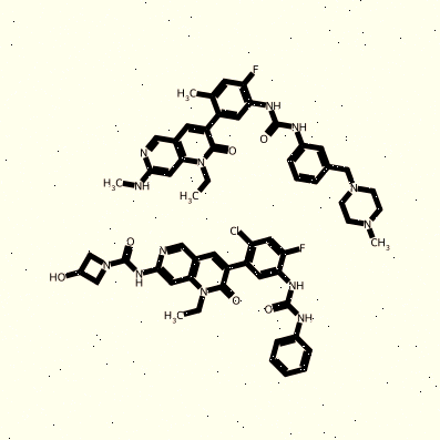 CCn1c(=O)c(-c2cc(NC(=O)Nc3cccc(CN4CCN(C)CC4)c3)c(F)cc2C)cc2cnc(NC)cc21.CCn1c(=O)c(-c2cc(NC(=O)Nc3ccccc3)c(F)cc2Cl)cc2cnc(NC(=O)N3CC(O)C3)cc21